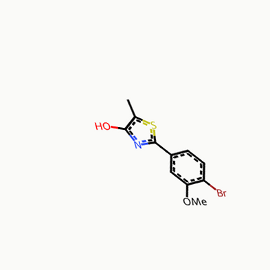 COc1cc(-c2nc(O)c(C)s2)ccc1Br